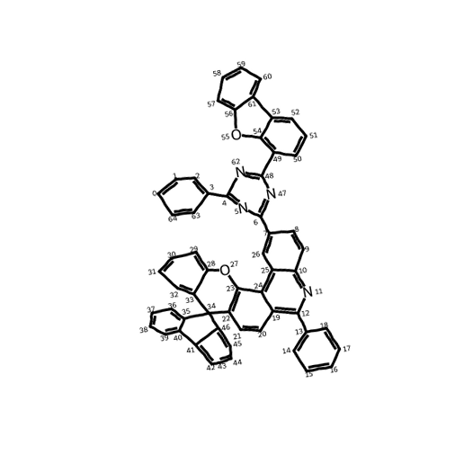 c1ccc(-c2nc(-c3ccc4nc(-c5ccccc5)c5ccc6c(c5c4c3)Oc3ccccc3C63c4ccccc4-c4ccccc43)nc(-c3cccc4c3oc3ccccc34)n2)cc1